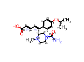 CC(C)Oc1ccc(/C=C/C=C/C(=O)O)cc1.CN1CCN(C(N)=O)CC1